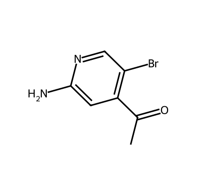 CC(=O)c1cc(N)ncc1Br